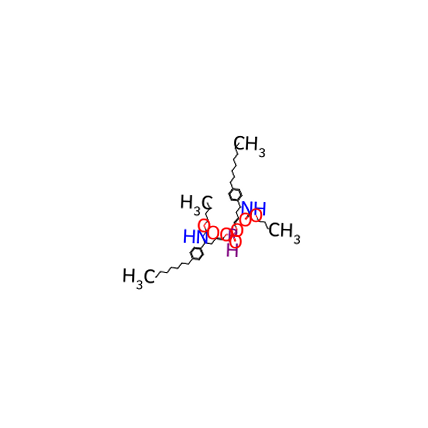 CCCCCCCCc1ccc(C(CC=CO[PH](=O)OC=CCC(NC(=O)OCCCC)c2ccc(CCCCCCCC)cc2)NC(=O)OCCCC)cc1